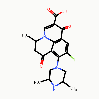 CC1CN(c2c(F)cc3c(=O)c(C(=O)O)cn4c3c2C(=O)CC4C)CC(C)N1